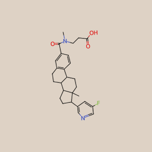 CN(CCC(=O)O)C(=O)c1ccc2c(c1)CCC1C2CCC2(C)C(c3cncc(F)c3)CCC12